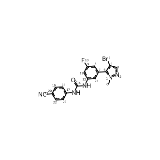 Cn1ncc(Br)c1-c1cc(F)cc(NC(=O)Nc2ccc(C#N)cc2)c1